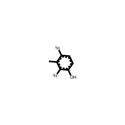 [2H]c1ccc(O)c([2H])c1C